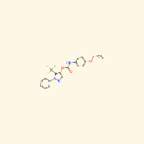 CCOc1ccc(NC(=O)Oc2cnn(-c3ccccc3)c2C(F)(F)F)cc1